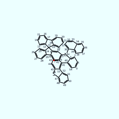 c1ccc(N(c2ccc3c(c2)C2(c4ccccc4-c4ccccc42)c2ccccc2-3)c2cccc3ccccc23)c(-c2cccc3sc4ccccc4c23)c1